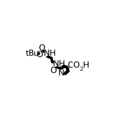 CC(C)(C)OC(=O)NCCCNC(=O)c1cc(C(=O)O)ccn1